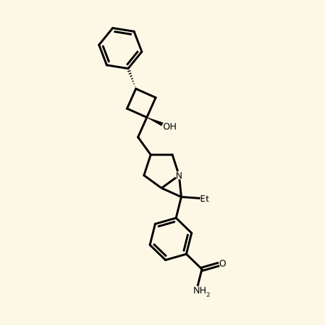 CCC1(c2cccc(C(N)=O)c2)C2CC(C[C@]3(O)C[C@H](c4ccccc4)C3)CN21